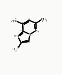 CCCc1cc(C)nn2cc(C)nc12